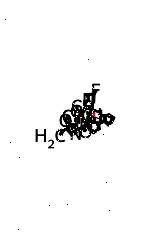 C=Cc1cnc(C(=O)NC2(c3ccc(CN4CC(F)C4)c(OC)n3)C=CC=C(c3ccccc3Cl)C2Cl)cc1OC